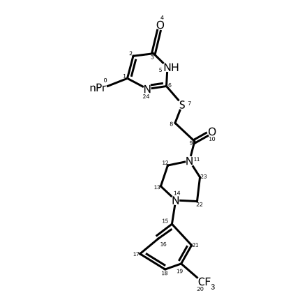 CCCc1cc(=O)[nH]c(SCC(=O)N2CCN(c3cccc(C(F)(F)F)c3)CC2)n1